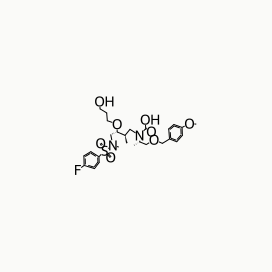 COc1ccc(COC[C@H](C)N(C[C@@H](C)[C@H](CN(C)S(=O)(=O)c2ccc(F)cc2)OCCCO)C(=O)O)cc1